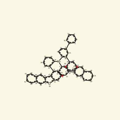 c1ccc(-c2ccc(N(c3cccc(-c4ccc5ccccc5c4)c3)c3ccccc3-c3cccc4oc5cc6ccccc6cc5c34)c(-c3ccccc3)c2)cc1